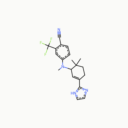 CN(c1ccc(C#N)c(C(F)(F)F)c1)C1C=C(c2ncc[nH]2)CCC1(C)C